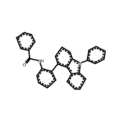 O=C(Nc1ccccc1-c1cccc2c1c1ccccc1n2-c1ccccc1)c1ccccc1